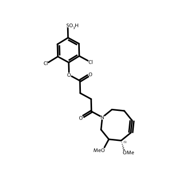 COC1CN(C(=O)CCC(=O)Oc2c(Cl)cc(S(=O)(=O)O)cc2Cl)CCC#C[C@@H]1OC